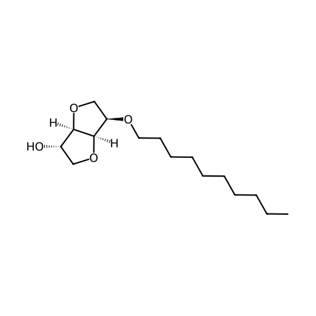 CCCCCCCCCCO[C@@H]1CO[C@H]2[C@@H]1OC[C@@H]2O